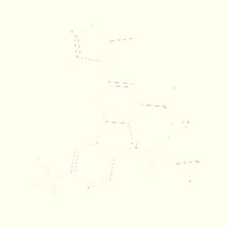 COC(=O)c1cc(-c2c(C)noc2C)cc2c3cc(S(C)(=O)=O)ccc3n(S(=O)(=O)C3CC3)c12